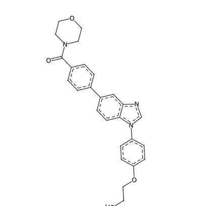 O=C(c1ccc(-c2ccc3c(c2)ncn3-c2ccc(OCCO)cc2)cc1)N1CCOCC1